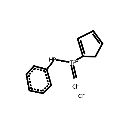 [CH2]=[Ti+2]([PH]c1ccccc1)[C]1=CC=CC1.[Cl-].[Cl-]